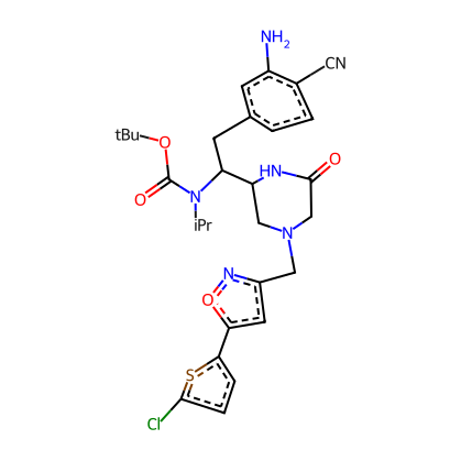 CC(C)N(C(=O)OC(C)(C)C)C(Cc1ccc(C#N)c(N)c1)C1CN(Cc2cc(-c3ccc(Cl)s3)on2)CC(=O)N1